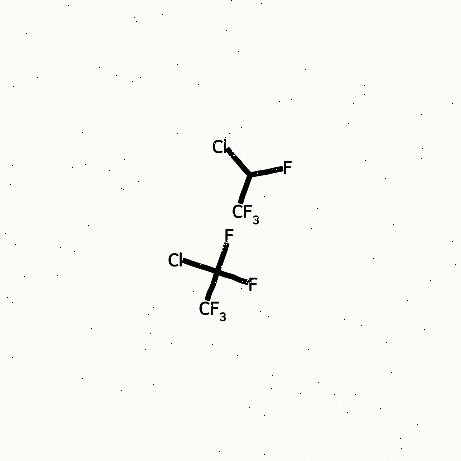 FC(Cl)C(F)(F)F.FC(F)(F)C(F)(F)Cl